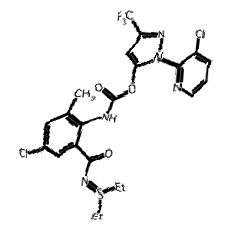 CCS(CC)=NC(=O)c1cc(Cl)cc(C)c1NC(=O)Oc1cc(C(F)(F)F)nn1-c1ncccc1Cl